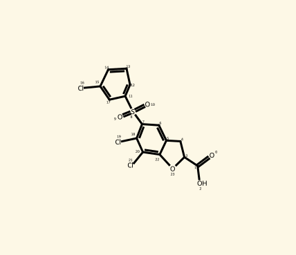 O=C(O)C1Cc2cc(S(=O)(=O)c3cccc(Cl)c3)c(Cl)c(Cl)c2O1